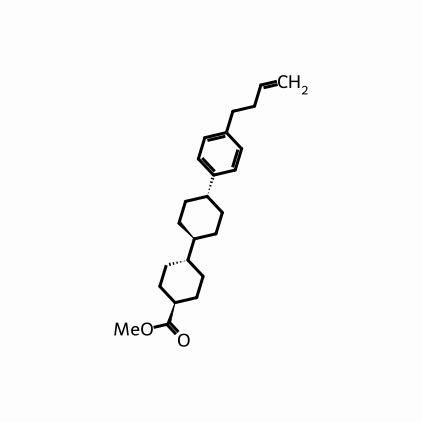 C=CCCc1ccc([C@H]2CC[C@H]([C@H]3CC[C@H](C(=O)OC)CC3)CC2)cc1